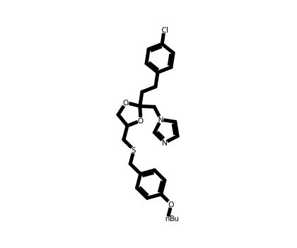 CCCCOc1ccc(CSCC2COC(CCc3ccc(Cl)cc3)(Cn3ccnc3)O2)cc1